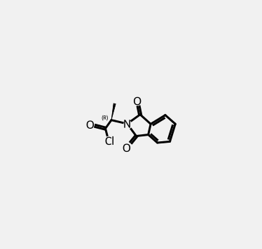 C[C@H](C(=O)Cl)N1C(=O)c2ccccc2C1=O